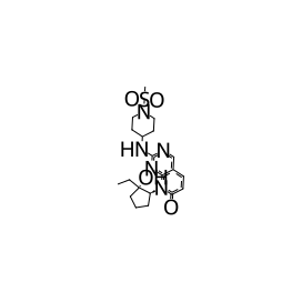 CC[C@]1(O)CCC[C@@H]1n1c(=O)ccc2cnc(NC3CCN(S(C)(=O)=O)CC3)nc21